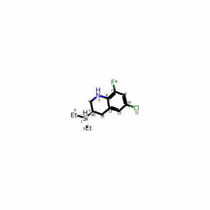 CC[SiH](CC)[C@H]1CNc2c(F)cc(Cl)cc2C1